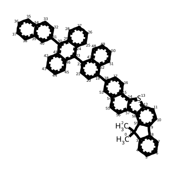 CC1(C)c2ccccc2-c2ccc3sc4c5ccc(-c6ccc(-c7c8ccccc8c(-c8ccc9ccccc9c8)c8ccccc78)c7ccccc67)cc5ccc4c3c21